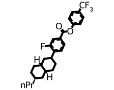 CCC[C@H]1CC[C@@H]2CC(c3ccc(C(=O)Oc4ccc(C(F)(F)F)cc4)cc3F)CC[C@H]2C1